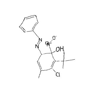 CC1=CC(N=Nc2ccccc2)C(O)([N+](=O)[O-])C(C(C)(C)C)=C1Cl